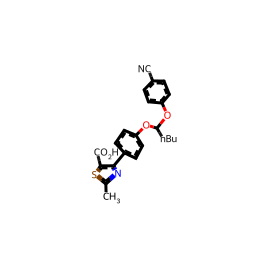 CCCCC(Oc1ccc(C#N)cc1)Oc1ccc(-c2nc(C)sc2C(=O)O)cc1